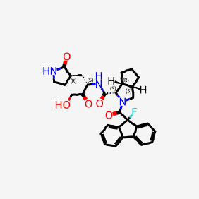 O=C1NCC[C@@H]1C[C@H](NC(=O)[C@@H]1[C@@H]2CCC[C@@H]2CN1C(=O)C1(F)c2ccccc2-c2ccccc21)C(=O)CO